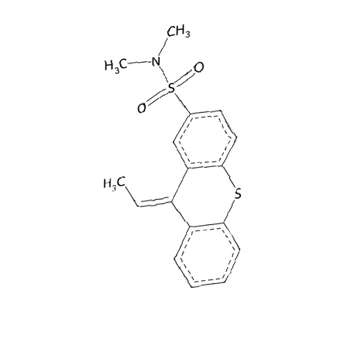 C/C=C1/c2ccccc2Sc2ccc(S(=O)(=O)N(C)C)cc21